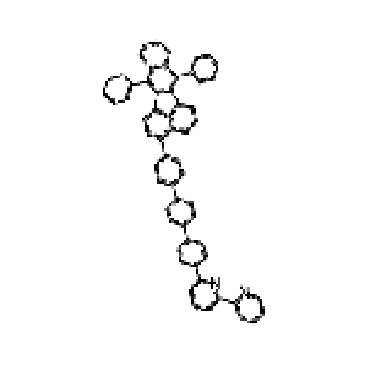 C1=CCCC(c2c3c(c(-c4ccccc4)c4ccccc24)-c2cccc4c(-c5ccc(-c6ccc(-c7ccc(-c8cccc(-c9ccccn9)n8)cc7)cc6)cc5)ccc-3c24)=C1